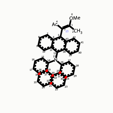 CO/C(C)=C(\C(C)=O)c1c2ccccc2c(N(c2ccccc2-c2ccccc2)c2ccccc2-c2ccccc2)c2ccccc12